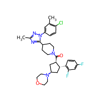 Cc1nc(C2CCN(C(=O)[C@@H]3C[C@H](N4CCOCC4)C[C@H]3c3ccc(F)cc3F)CC2)n(-c2ccc(Cl)c(C)c2)n1